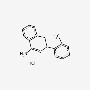 Cc1ccccc1C1Cc2ccccc2C(N)=N1.Cl